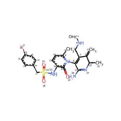 C=C1C(CNC=O)=C(n2c(C)ccc(NS(=O)(=O)Cc3ccc(Br)cc3)c2=O)C(N)=NC1C